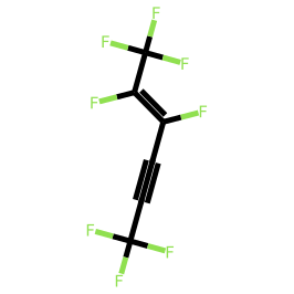 FC(C#CC(F)(F)F)=C(F)C(F)(F)F